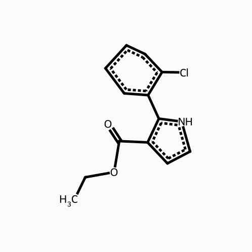 CCOC(=O)c1cc[nH]c1-c1ccccc1Cl